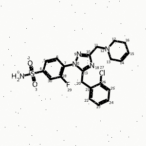 NS(=O)(=O)c1ccc(-n2nc(CN3CC=CCC3)nc2Cc2ccccc2Cl)c(F)c1